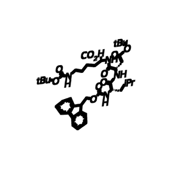 CC(C)C[C@H](NC(=O)OCC1c2ccccc2-c2ccccc21)C(=O)N[C@@H](CC(=O)OC(C)(C)C)C(=O)N[C@@H](CCCCNC(=O)OC(C)(C)C)C(=O)O